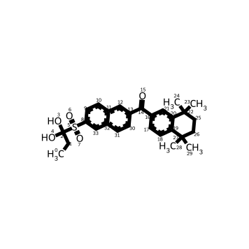 CCC(O)(O)S(=O)(=O)c1ccc2cc(C(=O)c3ccc4c(c3)C(C)(C)CCC4(C)C)ccc2c1